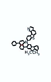 CC1(C)c2ccccc2-c2cc(N(c3ccc(-c4ccccc4)cc3)c3ccc4c(c3)sc3ccc5ccncc5c34)c(-c3ccccc3)cc21